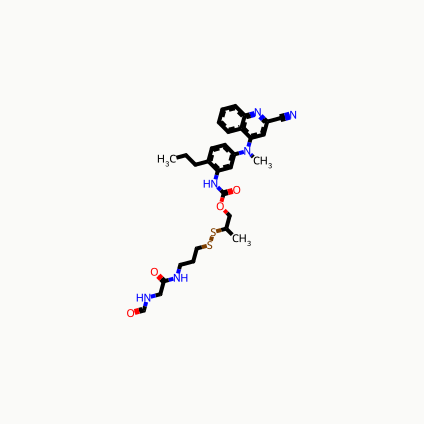 CCCc1ccc(N(C)c2cc(C#N)nc3ccccc23)cc1NC(=O)OCC(C)SSCCCNC(=O)CNC=O